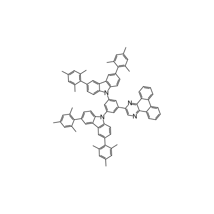 Cc1cc(C)c(-c2ccc3c(c2)c2cc(-c4c(C)cc(C)cc4C)ccc2n3-c2cc(-c3cnc4c5ccccc5c5ccccc5c4n3)cc(-n3c4ccc(-c5c(C)cc(C)cc5C)cc4c4cc(-c5c(C)cc(C)cc5C)ccc43)c2)c(C)c1